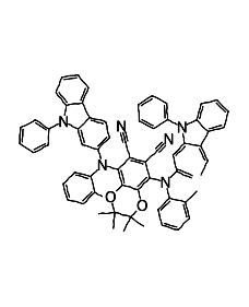 C=C(/C=c1\c(=C/C)c2ccccc2n1-c1ccccc1)N(c1ccccc1C)c1c(C#N)c(C#N)c(N(c2ccc3c4ccccc4n(-c4ccccc4)c3c2)c2ccccc2C)c2c1OC(C)(C)C(C)(C)O2